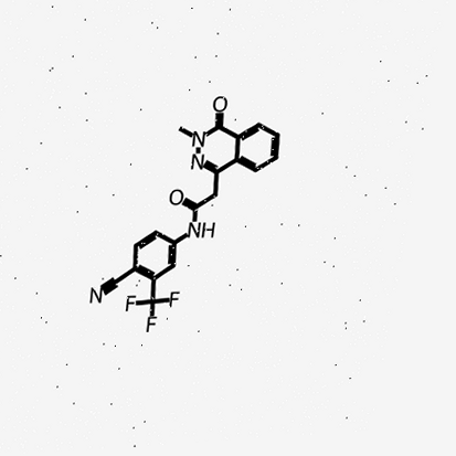 Cn1nc(CC(=O)Nc2ccc(C#N)c(C(F)(F)F)c2)c2ccccc2c1=O